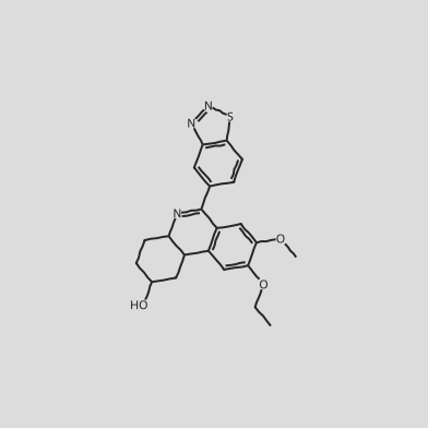 CCOc1cc2c(cc1OC)C(c1ccc3snnc3c1)=NC1CCC(O)CC21